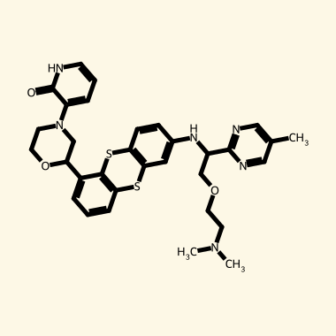 Cc1cnc(C(COCCN(C)C)Nc2ccc3c(c2)Sc2cccc(C4CN(c5ccc[nH]c5=O)CCO4)c2S3)nc1